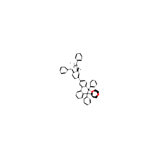 c1ccc(-c2nc(-c3ccccc3)c3ccc(-c4ccc5c(c4)-c4ccccc4C(c4ccccc4)(c4ccccc4)C5(c4ccccc4)c4ccccc4)cc3n2)cc1